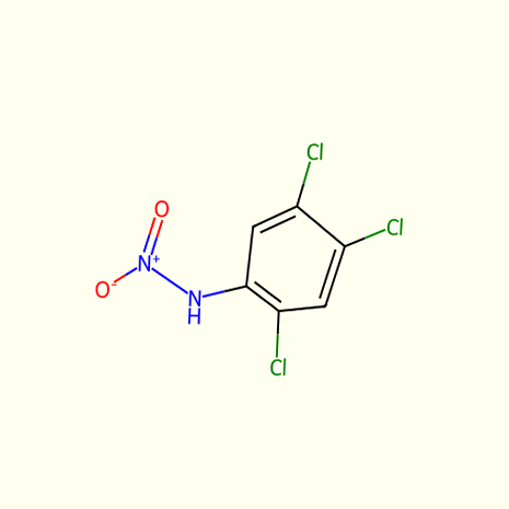 O=[N+]([O-])Nc1cc(Cl)c(Cl)cc1Cl